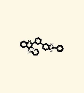 c1ccc(-c2nc3cc(-c4cccc(-c5nc6ccccc6c6nc7ccccn7c56)c4)ccc3s2)cc1